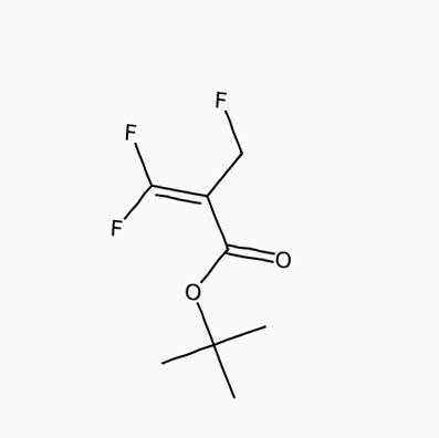 CC(C)(C)OC(=O)C(CF)=C(F)F